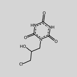 O=c1[nH]c(=O)n(CC(O)CCl)c(=O)[nH]1